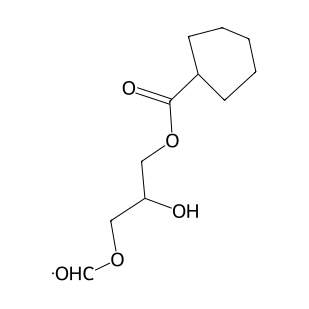 O=[C]OCC(O)COC(=O)C1CCCCC1